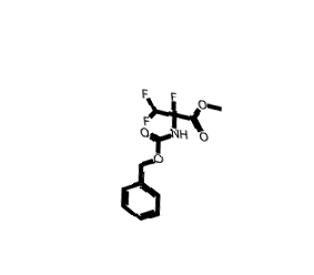 COC(=O)C(F)(NC(=O)OCc1ccccc1)C(F)F